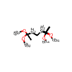 CC(C)(C)OC(C)(OC(C)(C)C)[SiH2]C[SiH2]C(C)(OC(C)(C)C)OC(C)(C)C